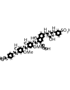 COc1cc(N=Nc2ccc(SOOO)cc2)c(C)cc1N=Nc1cc(OC)c(N=Nc2c(SOOO)cc3cc(Nc4nc(O)nc(Nc5cccc(S(=O)(=O)O)c5)n4)ccc3c2O)cc1C